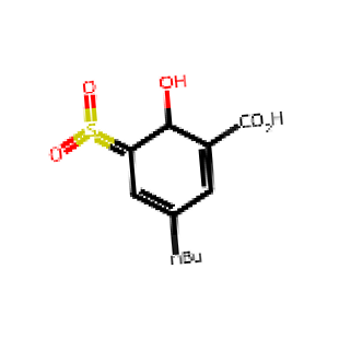 CCCCC1=CC(=S(=O)=O)C(O)C(C(=O)O)=C1